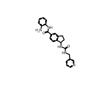 Nc1ccccc1NC(=O)c1ccc2c(c1)CCC2NC(=O)NCc1cccnc1